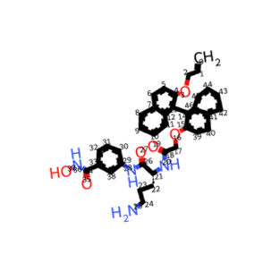 C=CCOc1ccc2ccccc2c1-c1c(OCC(=O)N[C@H](CCCN)C(=O)Nc2cccc(C(=O)NO)c2)ccc2ccccc12